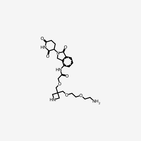 NCCOCCOCC1(COCC(=O)Nc2cccc3c2CN(C2CCC(=O)NC2=O)C3=O)CNC1